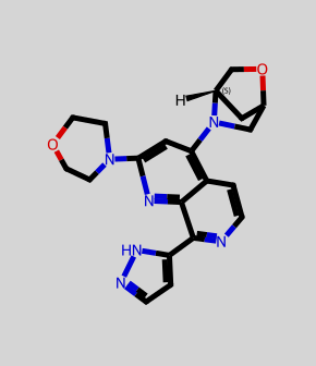 c1cc(-c2nccc3c(N4CC5C[C@H]4CO5)cc(N4CCOCC4)nc23)[nH]n1